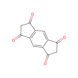 O=C1CC(=O)c2cc3c(cc21)C(=O)CC3=O